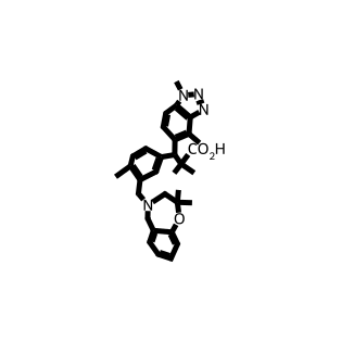 Cc1ccc(C(c2ccc3c(nnn3C)c2C)C(C)(C)C(=O)O)cc1CN1Cc2ccccc2OC(C)(C)C1